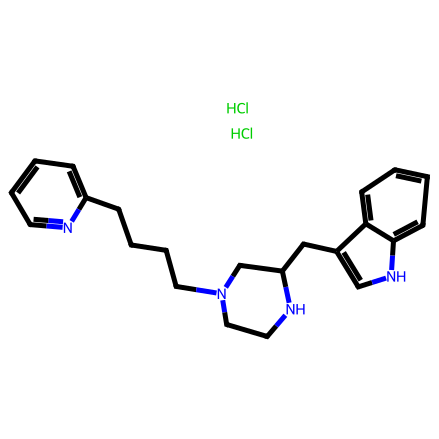 Cl.Cl.c1ccc(CCCCN2CCNC(Cc3c[nH]c4ccccc34)C2)nc1